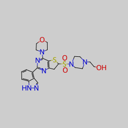 O=S(=O)(C1Cc2nc(-c3cccc4[nH]ncc34)nc(N3CCOCC3)c2S1)N1CCN(CCO)CC1